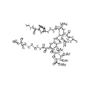 C=CCOC(=O)c1cn(CCCOc2cc3c(cc2OC)C(=O)N2CC(=C)C[C@H]2C(O)N3C(=O)OCc2ccc(O[C@@H]3O[C@H](C(=O)OC)[C@@H](OC(C)=O)[C@H](OC(C)=O)[C@H]3OC(C)=O)c(C(=O)NCCOCCONC(=O)OC(C)(C)C)c2)nn1